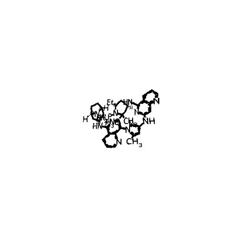 CC[C@H]1C[C@H](Nc2nc(Nc3cc(C)n(-c4cnc(N[C@@H]5C[C@H]6CC[C@@H](C5)N6P)c5cccnc45)n3)cc3ncccc23)CC(C)(C)N1P